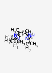 CC(C)c1c[nH]c(C(C)CCC(C)c2cn(C)c(C(C)(C)C)n2)n1